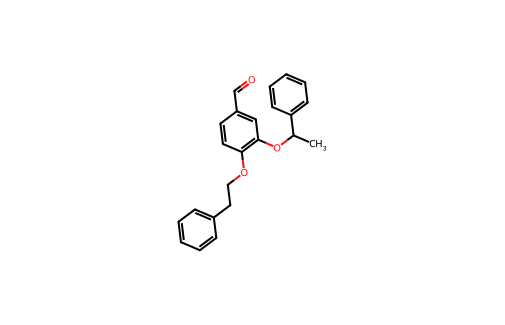 CC(Oc1cc(C=O)ccc1OCCc1ccccc1)c1ccccc1